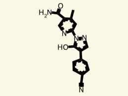 Cc1cc(-n2ncc(-c3ccc(C#N)cc3)c2O)ncc1C(N)=O